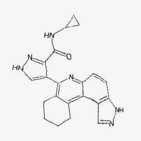 O=C(NC1CC1)c1n[nH]cc1-c1nc2ccc3[nH]ncc3c2c2c1CCCC2